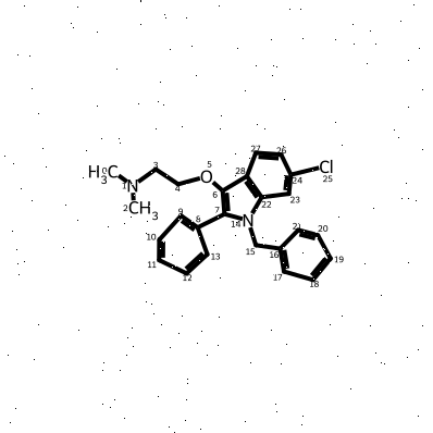 CN(C)CCOc1c(-c2ccccc2)n(Cc2ccccc2)c2cc(Cl)ccc12